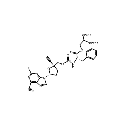 C#C[C@@]1(CO[PH](=O)N[C@@H](Cc2ccccc2)C(=O)OCC(CCCCC)CCCCC)CC[C@H](n2cnc3c(N)nc(F)nc32)O1